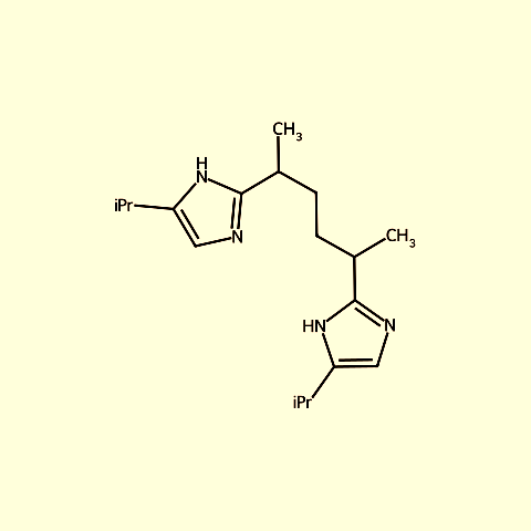 CC(C)c1cnc(C(C)CCC(C)c2ncc(C(C)C)[nH]2)[nH]1